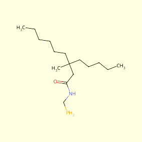 CCCCCCC(C)(CCCCC)CC(=O)NCP